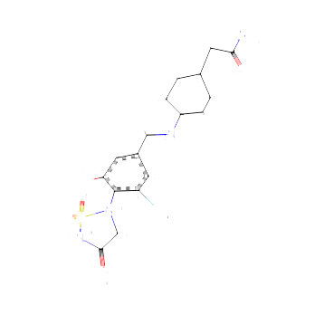 NC(=O)CC1CCC(NCc2cc(O)c(N3CC(=O)NS3(=O)=O)c(F)c2)CC1